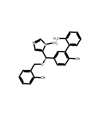 Cc1ccccc1-c1cc([C@@H](OCc2ccccc2C#N)c2cncn2C)ccc1C#N